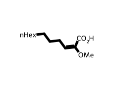 CCCCCCCCCC=C(OC)C(=O)O